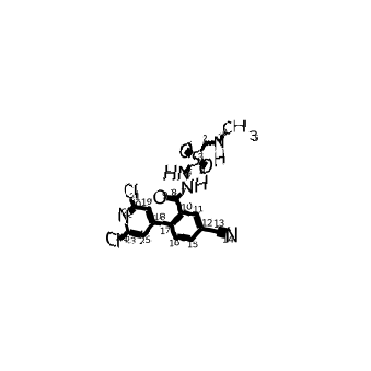 CNCS(=O)(=O)NNC(=O)c1cc(C#N)ccc1-c1cc(Cl)nc(Cl)c1